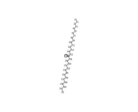 CCCCCCCCCCCCCCC[CH]C(=O)CCCCCCCCCCCCCCC